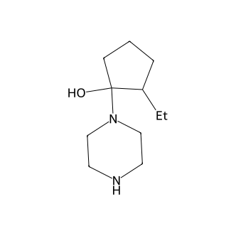 CCC1CCCC1(O)N1CCNCC1